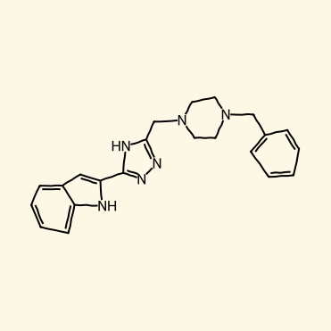 c1ccc(CN2CCN(Cc3nnc(-c4cc5ccccc5[nH]4)[nH]3)CC2)cc1